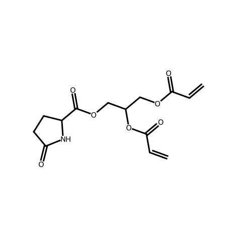 C=CC(=O)OCC(COC(=O)C1CCC(=O)N1)OC(=O)C=C